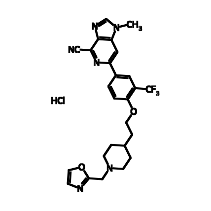 Cl.Cn1cnc2c(C#N)nc(-c3ccc(OCCC4CCN(Cc5ncco5)CC4)c(C(F)(F)F)c3)cc21